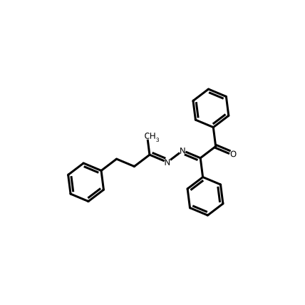 C/C(CCc1ccccc1)=N\N=C(\C(=O)c1ccccc1)c1ccccc1